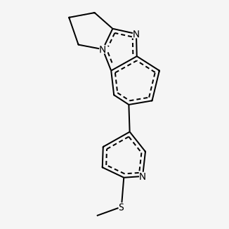 CSc1ccc(-c2ccc3nc4n(c3c2)CCC4)cn1